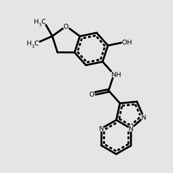 CC1(C)Cc2cc(NC(=O)c3cnn4cccnc34)c(O)cc2O1